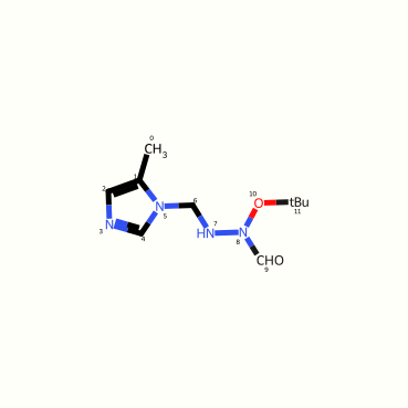 Cc1cncn1CNN(C=O)OC(C)(C)C